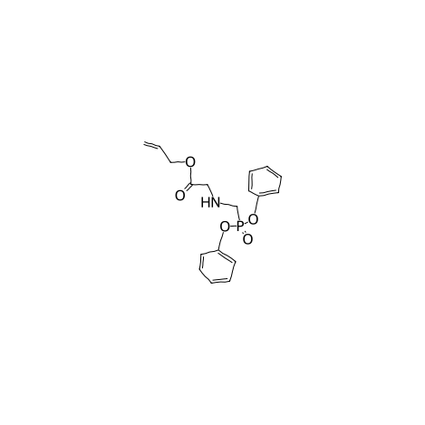 C=CCOC(=O)CNCP(=O)(Oc1ccccc1)Oc1ccccc1